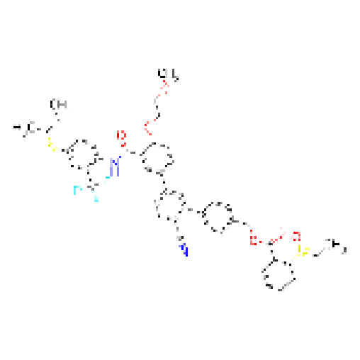 CCC(C)Sc1ccc(NC(=O)c2cc(-c3ccc(C#N)c(-c4ccc(COC(=O)c5ccccc5[S+]([O-])CC)cc4)c3)ccc2OCCOC)c(C(F)(F)F)c1